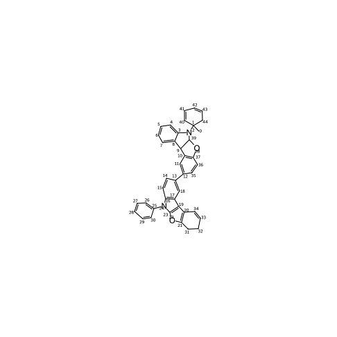 CC1(N2c3ccccc3C3c4cc(-c5ccc6c(c5)c5c7c(oc5n6-c5ccccc5)CCC=C7)ccc4OC32)C=CC=CC1